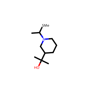 CSC(C)N1CCCC(C(C)(C)O)C1